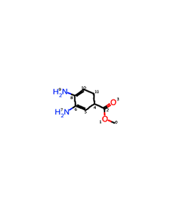 COC(=O)C1C=C(N)C(N)=CC1